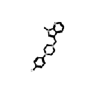 Cn1cc(CN2CCN(c3ccc(Cl)cc3)CC2)c2cccnc21